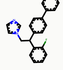 Fc1ccccc1C(Cn1ccnc1)c1ccc(-c2ccccc2)cc1